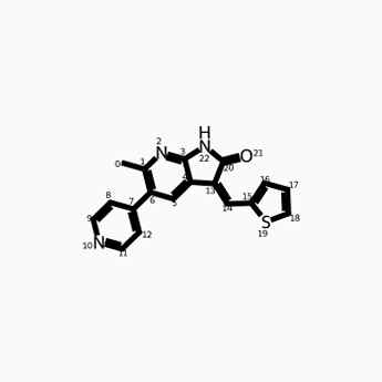 Cc1nc2c(cc1-c1ccncc1)C(=Cc1cccs1)C(=O)N2